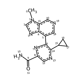 Cn1cnc2c(-c3nc(C(N)=O)cnc3C3CC3)cncc21